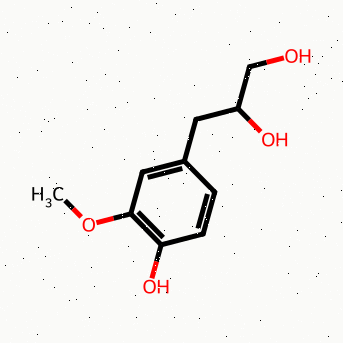 COc1cc(CC(O)CO)ccc1O